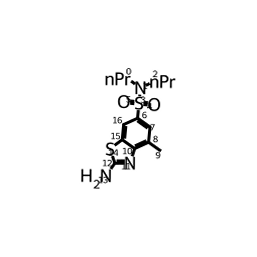 CCCN(CCC)S(=O)(=O)c1cc(C)c2nc(N)sc2c1